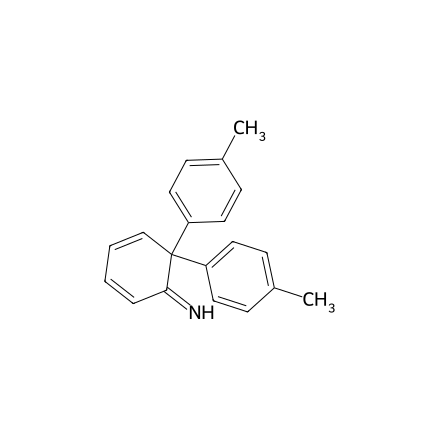 Cc1ccc(C2(c3ccc(C)cc3)C=CC=CC2=N)cc1